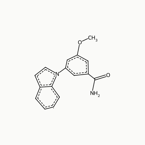 COc1cc(C(N)=O)cc(-n2ccc3cc[c]cc32)c1